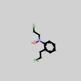 ON(CCCl)c1ccccc1CCCl